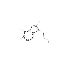 Cc1[nH]c2c(Br)c(Cl)ccc2c1CCCO